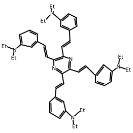 CCN(CC)c1cccc(C=Cc2nc(C=Cc3cccc(N(CC)CC)c3)c(C=Cc3cccc(N(CC)CC)c3)nc2C=Cc2cccc(N(CC)CC)c2)c1